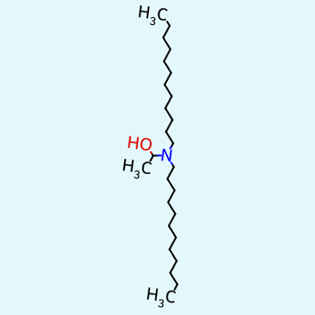 CCCCCCCCCCCCN(CCCCCCCCCCCC)C(C)O